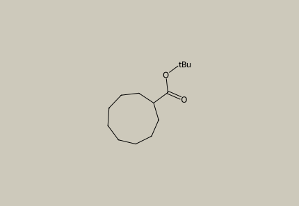 CC(C)(C)OC(=O)C1CCCCCCCC1